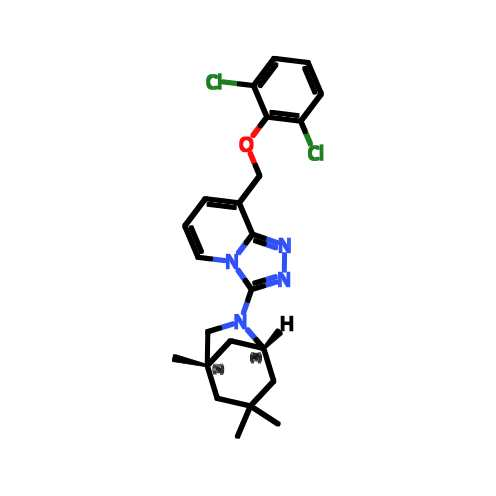 CC1(C)C[C@@H]2C[C@@](C)(CN2c2nnc3c(COc4c(Cl)cccc4Cl)cccn23)C1